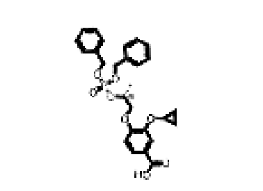 C[C@H](COc1ccc(C(=O)O)cc1OC1CC1)OP(=O)(OCc1ccccc1)OCc1ccccc1